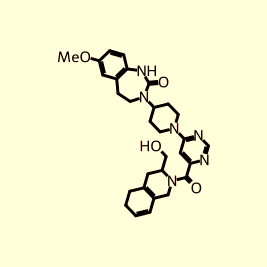 COc1ccc2c(c1)CCN(C1CCN(c3cc(C(=O)N4CC5=C(CCC=C5)CC4CO)ncn3)CC1)C(=O)N2